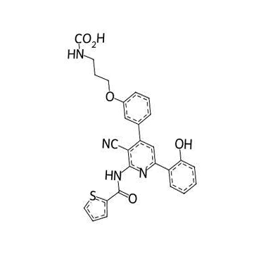 N#Cc1c(-c2cccc(OCCCNC(=O)O)c2)cc(-c2ccccc2O)nc1NC(=O)c1cccs1